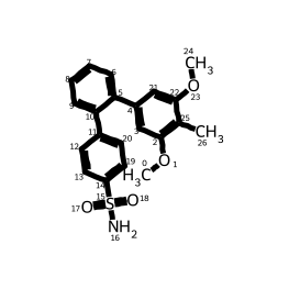 COc1cc(-c2ccccc2-c2ccc(S(N)(=O)=O)cc2)cc(OC)c1C